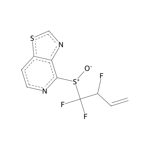 C=CC(F)C(F)(F)[S+]([O-])c1nccc2scnc12